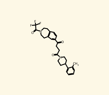 Cc1ccccc1C1CCN(C(=O)CCC(=O)c2ccc3c(c2)CCN(C(=O)C(F)(F)F)CC3)CC1